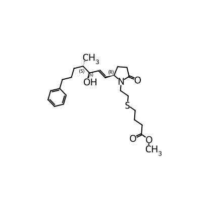 COC(=O)CCCSCCN1C(=O)CC[C@@H]1C=C[C@@H](O)[C@@H](C)CCCc1ccccc1